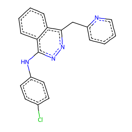 Clc1ccc(Nc2nnc(Cc3ccccn3)c3ccccc23)cc1